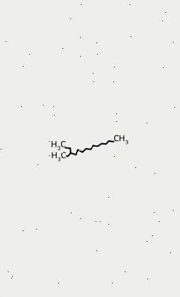 CCCCCCCCCCCCC(CC)CCC